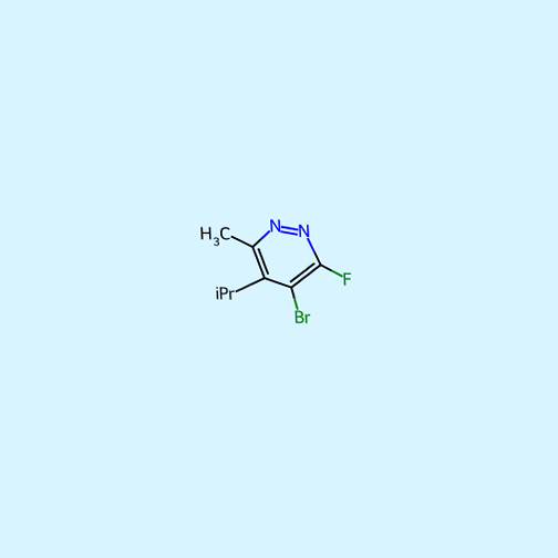 Cc1nnc(F)c(Br)c1C(C)C